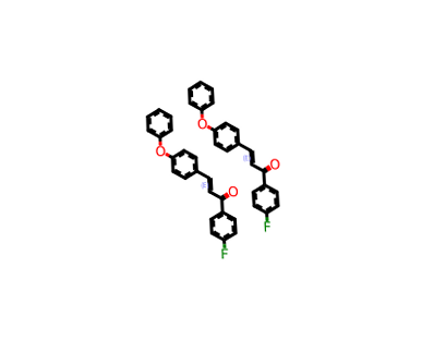 O=C(/C=C/c1ccc(Oc2ccccc2)cc1)c1ccc(F)cc1.O=C(/C=C/c1ccc(Oc2ccccc2)cc1)c1ccc(F)cc1